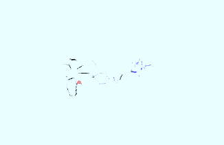 O=C(O)Cn1nnc(-c2cnc(N3CCC4(C=C(c5cc(Cl)ccc5Cl)c5c(Cl)cccc5O4)CC3)s2)n1